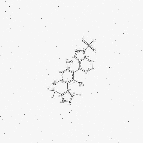 CCS(=O)(=O)n1ccc2c(-c3c(OC)cc4c(c3C(F)(F)F)-n3c(C)nnc3C(C)(C)N4)cccc21